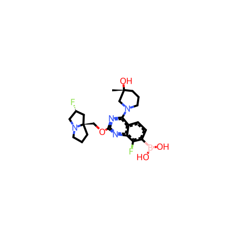 C[C@@]1(O)CCCN(c2nc(OC[C@@]34CCCN3C[C@H](F)C4)nc3c(F)c(B(O)O)ccc23)C1